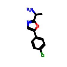 CC(N)c1ncc(-c2ccc(Cl)cc2)o1